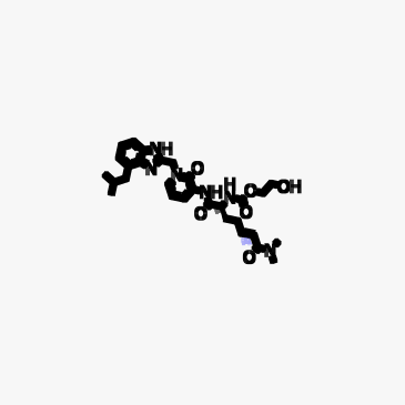 CC(C)Cc1cccc2[nH]c(Cn3cccc(NC(=O)[C@H](CC/C=C/C(=O)N(C)C)NC(=O)OCCO)c3=O)nc12